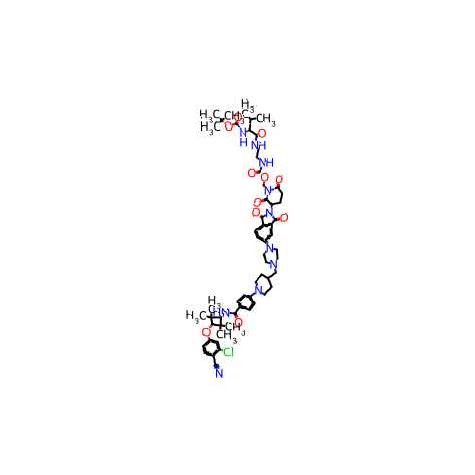 CC(C)[C@H](NC(=O)OC(C)(C)C)C(=O)NCCNC(=O)OCN1C(=O)CCC(N2C(=O)c3ccc(N4CCN(CC5CCN(c6ccc(C(=O)N[C@H]7C(C)(C)[C@H](Oc8ccc(C#N)c(Cl)c8)C7(C)C)cc6)CC5)CC4)cc3C2=O)C1=O